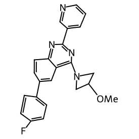 COC1CN(c2nc(-c3cccnc3)nc3ccc(-c4ccc(F)cc4)cc23)C1